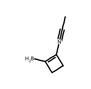 BC1=C([N+]#CC)CC1